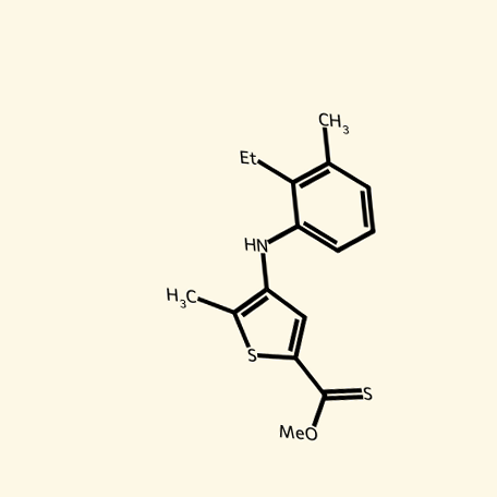 CCc1c(C)cccc1Nc1cc(C(=S)OC)sc1C